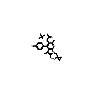 CC(=O)[C@@H](OC(C)(C)C)c1c(C)nc2c(c(C)c(C)n2CC2(O)CC2)c1-c1ccc(Cl)cc1